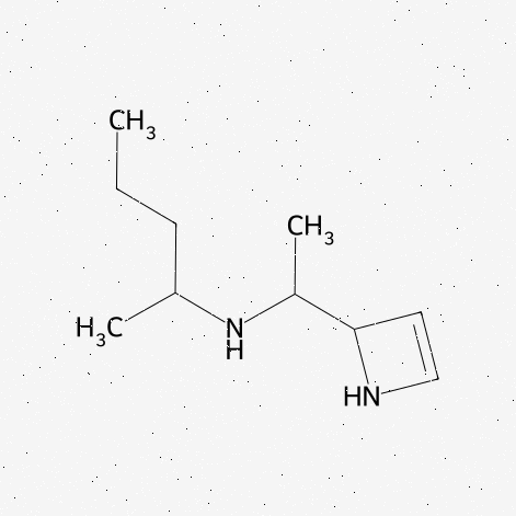 CCCC(C)NC(C)C1C=CN1